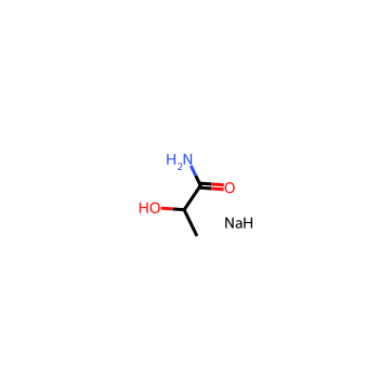 CC(O)C(N)=O.[NaH]